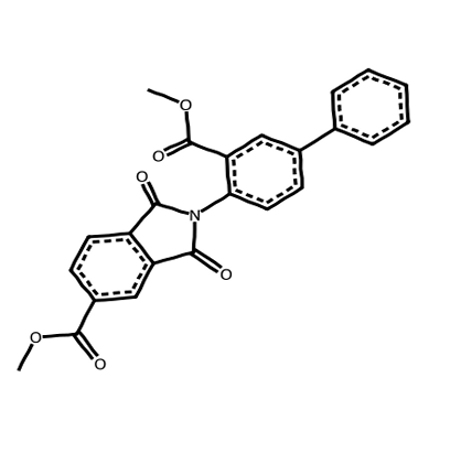 COC(=O)c1ccc2c(c1)C(=O)N(c1ccc(-c3ccccc3)cc1C(=O)OC)C2=O